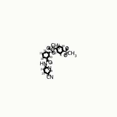 CN(c1ccc(S(C)(=O)=O)cc1)S(=O)(=O)c1cccc(C(=O)Nc2ccc(C#N)cn2)c1